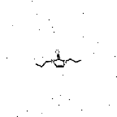 CCCn1ccn(CCC)c1=O